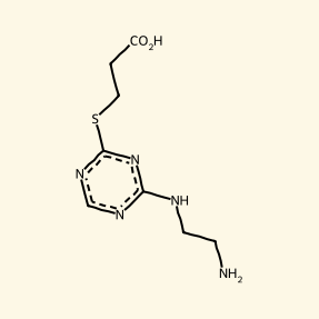 NCCNc1ncnc(SCCC(=O)O)n1